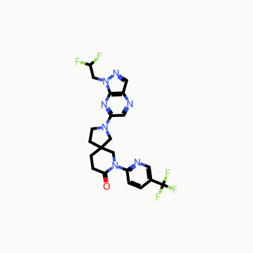 O=C1CCC2(CCN(c3cnc4cnn(CC(F)F)c4n3)C2)CN1c1ccc(C(F)(F)F)cn1